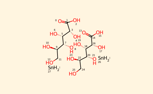 O=C(O)[C@H](O)[C@@H](O)[C@H](O)[C@H](O)CO.O=C(O)[C@H](O)[C@@H](O)[C@H](O)[C@H](O)CO.[SnH2].[SnH2]